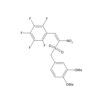 COc1ccc(CS(=O)(=O)/C(=C\c2c(F)c(F)c(F)c(F)c2F)[N+](=O)[O-])cc1OC